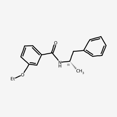 CCOc1cccc(C(=O)N[C@@H](C)Cc2ccccc2)c1